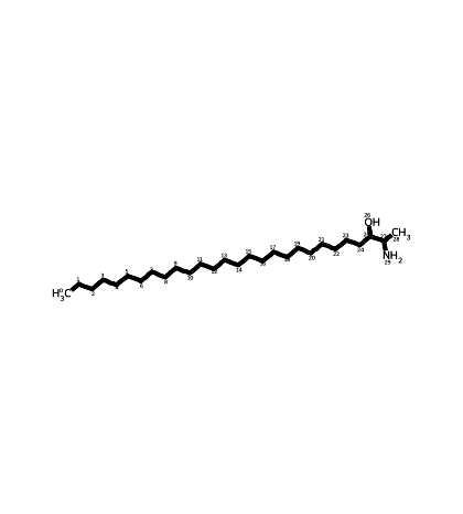 CCCCCCCCCCCCCCCCCCCCCCCCCC(O)C(C)N